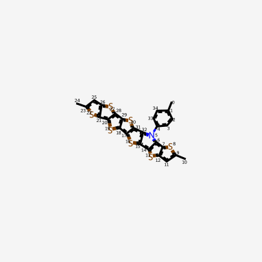 Cc1ccc(-n2c3c4sc(C)cc4sc3c3sc4c5sc6c7sc(C)cc7sc6c5sc4c32)cc1